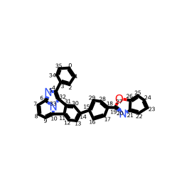 c1ccc(-c2nc3cccc4c5ccc(-c6ccc(-c7nc8ccccc8o7)cc6)cc5c2n34)cc1